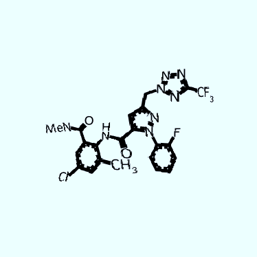 CNC(=O)c1cc(Cl)cc(C)c1NC(=O)c1cc(Cn2nnc(C(F)(F)F)n2)nn1-c1ccccc1F